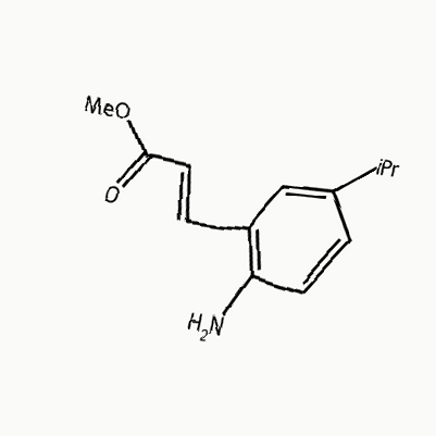 COC(=O)C=Cc1cc(C(C)C)ccc1N